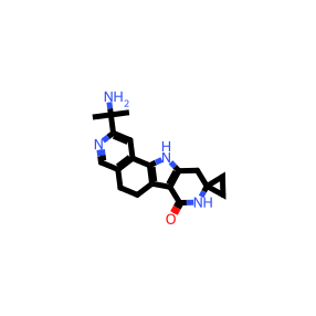 CC(C)(N)c1cc2c(cn1)CCc1c-2[nH]c2c1C(=O)NC1(CC1)C2